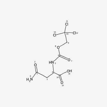 NC(=O)CC(NC(=O)OCC(Cl)(Cl)Cl)C(=O)O